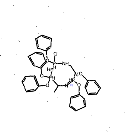 CC1/N=[PH](/Oc2ccccc2)[C@@H](Oc2ccccc2)CN[PH](Cl)(Oc2ccccc2)N[PH]1(Oc1ccccc1)Oc1ccccc1